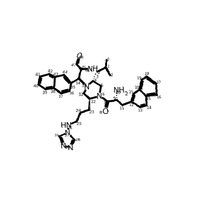 CC(C)C[C@@H]1CN(C(=O)[C@H](N)Cc2ccc3ccccc3c2)[C@@H](CCCNn2cnnc2)CN1C(c1ccc2ccccc2c1)C(N)C=O